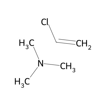 C=CCl.CN(C)C